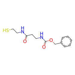 O=C(CCNC(=O)OCc1ccccc1)NCCS